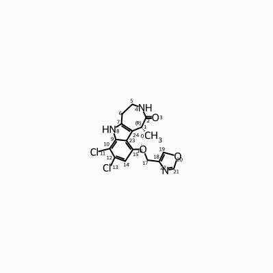 C[C@H]1C(=O)NCCc2[nH]c3c(Cl)c(Cl)cc(OCc4cocn4)c3c21